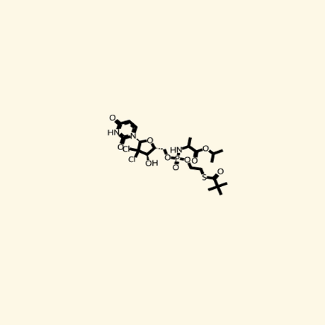 CC(C)OC(=O)C(C)NP(=O)(OCCSC(=O)C(C)(C)C)OC[C@H]1O[C@@H](n2ccc(=O)[nH]c2=O)C(Cl)(Cl)[C@@H]1O